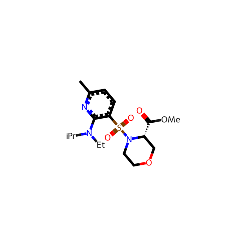 CCN(c1nc(C)ccc1S(=O)(=O)N1CCOC[C@H]1C(=O)OC)C(C)C